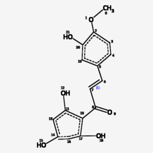 COc1ccc(/C=C/C(=O)c2c(O)cc(O)cc2O)cc1O